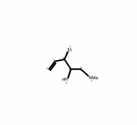 C=CC(CC)C(CCC)CNC